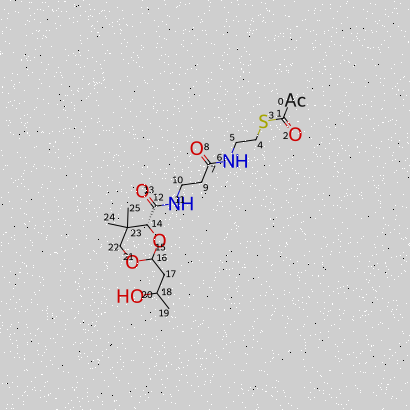 CC(=O)C(=O)SCCNC(=O)CCNC(=O)[C@@H]1OC(CC(C)O)OCC1(C)C